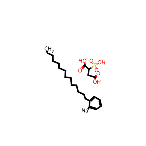 CCCCCCCCCCCCCCc1cccc[c]1[Na].O=C(O)CC(C(=O)O)S(=O)(=O)O